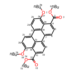 CCCCOC(=O)c1ccc2c3ccc(C(=O)OCCCC)c4c(OCCCC)ccc(c5ccc(OCCCC)c1c52)c43